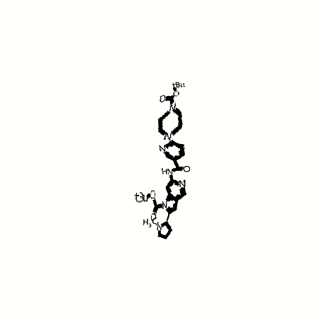 CN1CCC[C@@H]1c1cc2cnc(NC(=O)c3ccc(N4CCN(C(=O)OC(C)(C)C)CC4)nc3)cc2n1C(=O)OC(C)(C)C